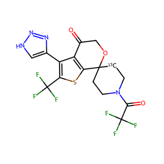 O=C1COC2(CCN(C(=O)C(F)(F)F)C[13CH2]2)c2sc(C(F)(F)F)c(-c3c[nH]nn3)c21